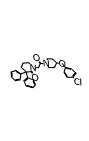 O=C(CN1CCCC(c2ccccc2)(c2ccccc2)C1=O)N1CCC(Oc2ccc(Cl)cc2)CC1